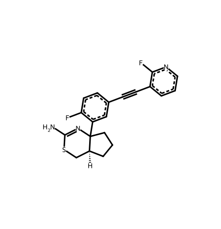 NC1=NC2(c3cc(C#Cc4cccnc4F)ccc3F)CCC[C@H]2CS1